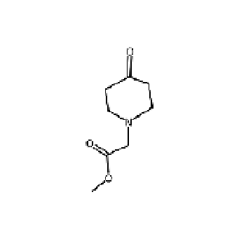 COC(=O)CN1CCC(=O)CC1